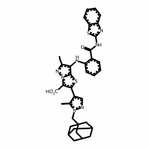 Cc1nn2c(C(=O)O)c(-c3cnn(CC45CC6CC(CC(C6)C4)C5)c3C)sc2c1Nc1ccccc1C(=O)Nc1nc2ccccc2s1